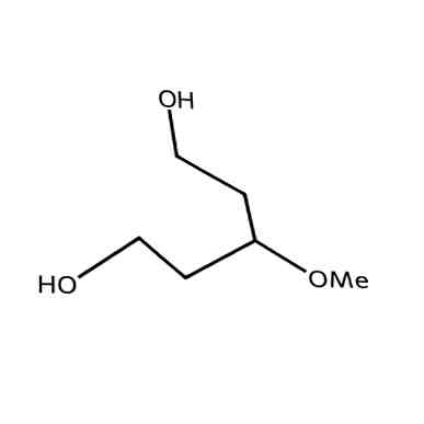 COC(CCO)CCO